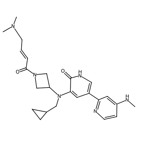 CNc1ccnc(-c2c[nH]c(=O)c(N(CC3CC3)C3CN(C(=O)C=CCN(C)C)C3)c2)c1